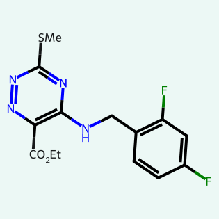 CCOC(=O)c1nnc(SC)nc1NCc1ccc(F)cc1F